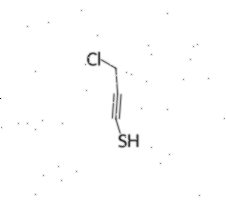 SC#CCCl